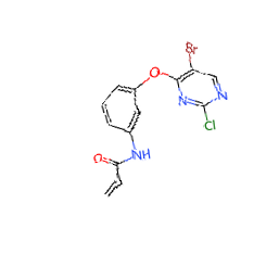 C=CC(=O)Nc1cccc(Oc2nc(Cl)ncc2Br)c1